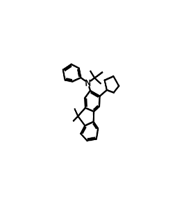 CC1(C)c2ccccc2-c2cc(C3CCCC3)c(N(c3ccccc3)C(C)(C)C)cc21